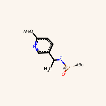 COc1ccc(C(C)N[S@@+]([O-])C(C)(C)C)cn1